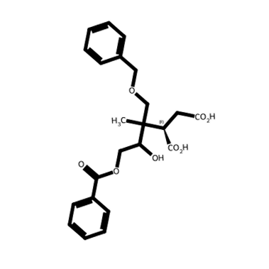 CC(COCc1ccccc1)(C(O)COC(=O)c1ccccc1)[C@@H](CC(=O)O)C(=O)O